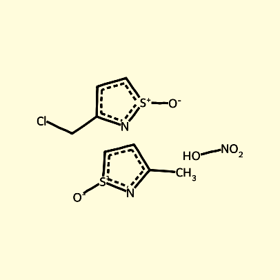 Cc1cc[s+]([O-])n1.O=[N+]([O-])O.[O-][s+]1ccc(CCl)n1